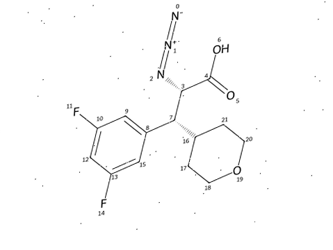 [N-]=[N+]=N[C@H](C(=O)O)[C@@H](c1cc(F)cc(F)c1)C1CCOCC1